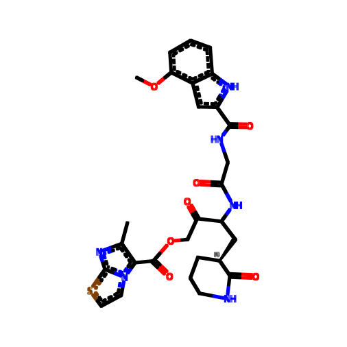 COc1cccc2[nH]c(C(=O)NCC(=O)NC(C[C@@H]3CCCNC3=O)C(=O)COC(=O)c3c(C)nc4sccn34)cc12